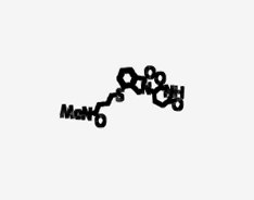 CNC(=O)CCCSc1cccc2c1CN(C1CCC(=O)NC1=O)C2=O